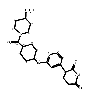 O=C1CCC(c2ccnc(NC3CCC(C(=O)N4CCC(C(=O)O)CC4)CC3)c2)C(=O)N1